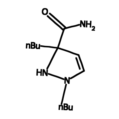 CCCCN1C=CC(CCCC)(C(N)=O)N1